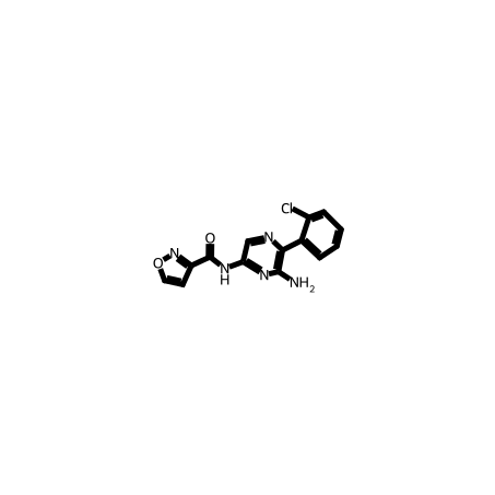 Nc1nc(NC(=O)c2ccon2)cnc1-c1ccccc1Cl